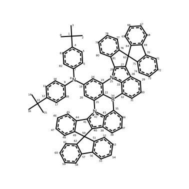 CC(C)(C)c1ccc(N(c2ccc(C(C)(C)C)cc2)c2cc3c4c(c2)-n2c5c(c6cccc(c62)B4c2cccc4c6c(n-3c24)-c2ccccc2C62c3ccccc3-c3ccccc32)C2(c3ccccc3-c3ccccc32)c2ccccc2-5)cc1